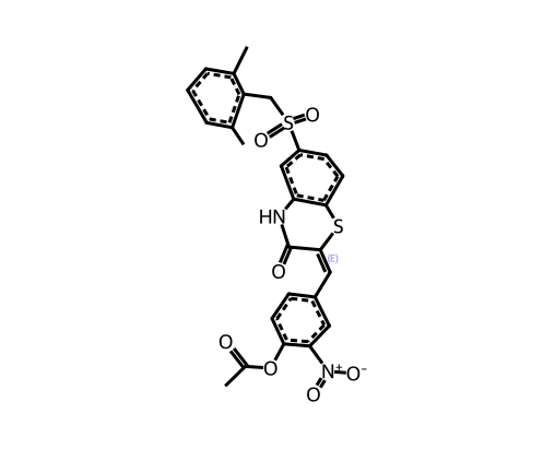 CC(=O)Oc1ccc(/C=C2/Sc3ccc(S(=O)(=O)Cc4c(C)cccc4C)cc3NC2=O)cc1[N+](=O)[O-]